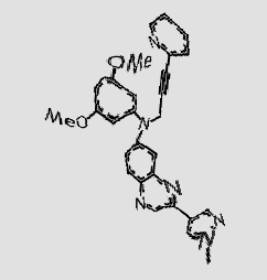 COc1cc(OC)cc(N(CC#Cc2ccccn2)c2ccc3ncc(-c4cnn(C)c4)nc3c2)c1